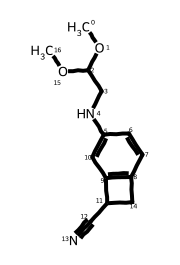 COC(CNc1ccc2c(c1)C(C#N)C2)OC